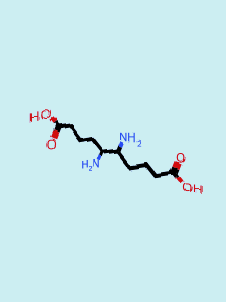 NC(CCCC(=O)O)C(N)CCCC(=O)O